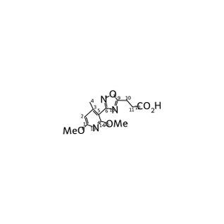 COc1cc(C)c(-c2noc(CCC(=O)O)n2)c(OC)n1